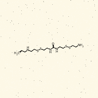 C=CCNCCSSCCNC(=O)NCCSSCCN